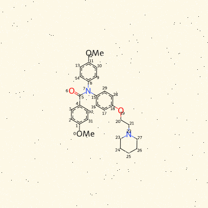 COc1ccc(C(=O)N(c2ccc(OC)cc2)c2ccc(OCCN3CCCCC3)cc2)cc1